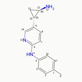 Cc1ccc(Nc2ccc([C@@H]3C[C@H]3N)cn2)cc1